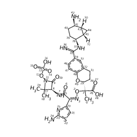 CC(O/N=C(\C(=O)N[C@@H]1C(=O)N(OS(=O)(=O)O)C1(C)C)c1csc(N)n1)(C(=O)O)[C@H]1CCc2cc(C(=N)N[C@H]3CC[C@@H](N)[C@@H]4C[C@@H]43)ccc2O1